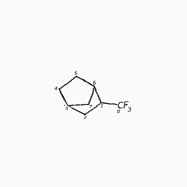 FC(F)(F)C1C[C]2CCC1C2